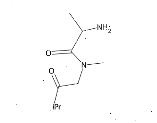 CC(C)C(=O)CN(C)C(=O)C(C)N